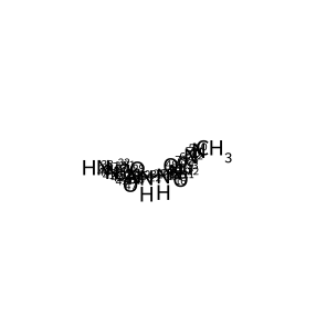 CN1CCN(c2ccc3c4c(cccc24)C(=O)N(CCNCCCNCCN2C(=O)c4cccc5c(N6CCNCC6)ccc(c45)C2=O)C3=O)CC1